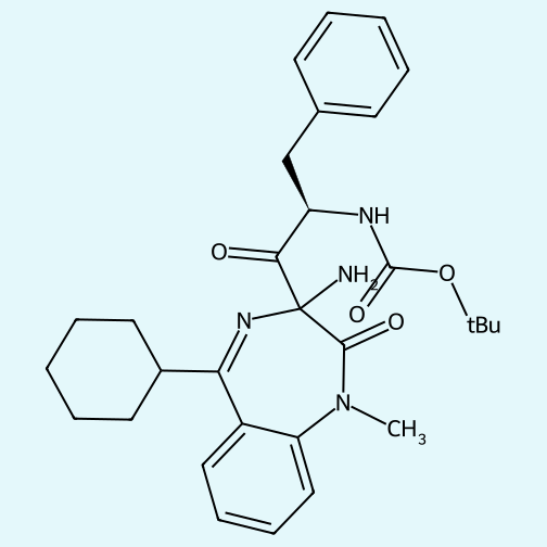 CN1C(=O)C(N)(C(=O)[C@@H](Cc2ccccc2)NC(=O)OC(C)(C)C)N=C(C2CCCCC2)c2ccccc21